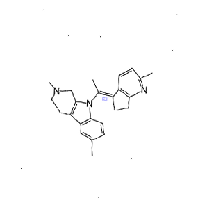 C/C(=C1/CCc2nc(C)ccc21)n1c2c(c3cc(C)ccc31)CCN(C)C2